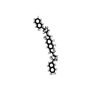 c1ccc2cc(-c3ncc(-c4cc5cc6cc7sc(-c8cnc(-c9ccc%10ccccc%10c9)s8)cc7cc6cc5s4)s3)ccc2c1